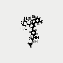 CC1COCCN1c1nc(-c2ccc(NC(=O)NC3CC3)cc2)cc(-c2cc(F)ccc2S(C)(=O)=O)n1